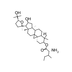 CCC(C)[C@@H](N)C(=O)O[C@H]1CC[C@]23CC24CC[C@]2(C)[C@@H]([C@@]5(C)CC[C@@H](C(C)(C)O)O5)[C@@H](O)C[C@@]2(C)C4CC[C@H]3C1(C)C